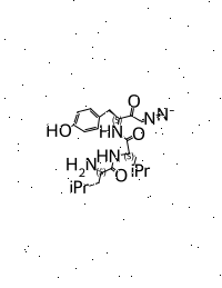 CC(C)C[C@H](NC(=O)[C@@H](N)CC(C)C)C(=O)N[C@@H](Cc1ccc(O)cc1)C(=O)C=[N+]=[N-]